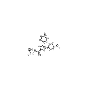 COc1ccc(-n2nc(C(O)CCC(C)O)cc2-c2ccc(Cl)cc2)cc1